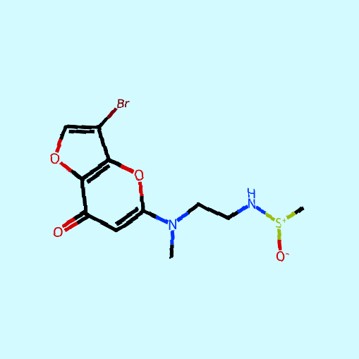 CN(CCN[S+](C)[O-])c1cc(=O)c2occ(Br)c2o1